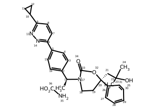 C[C@@H](c1ccc(-c2ccc(C3CC3)nn2)cc1)N1CC[C@](CC(C)(C)O)(c2ccccc2)OC1=O.NC(=O)O